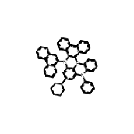 c1ccc(N2c3ccccc3B3c4c2cc(C2CCCCC2)cc4N(c2cc4ccccc4c4ccccc24)c2c3c3ccccc3c3ccccc23)cc1